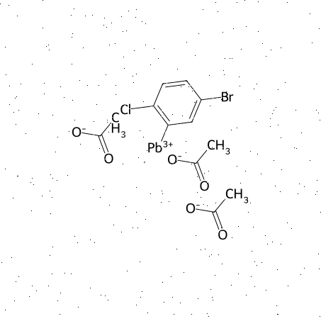 CC(=O)[O-].CC(=O)[O-].CC(=O)[O-].Clc1ccc(Br)c[c]1[Pb+3]